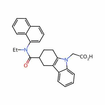 CCN(C(=O)C1CCc2c(c3ccccc3n2CC(=O)O)C1)c1cccc2ccccc12